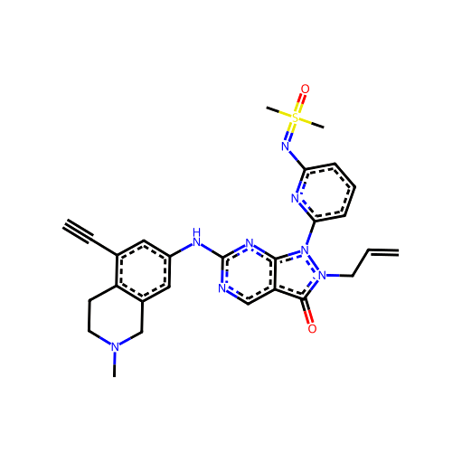 C#Cc1cc(Nc2ncc3c(=O)n(CC=C)n(-c4cccc(N=S(C)(C)=O)n4)c3n2)cc2c1CCN(C)C2